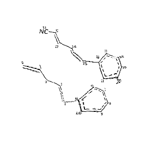 C=CCC=Cc1ccccc1.N#CC=CC=Cc1ccccc1